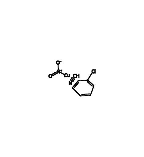 C#N.Clc1ccccc1.O=[N+]([O-])[Cu]